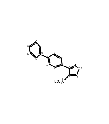 CCOC(=O)c1conc1-c1ccc(-c2ccccc2)cc1